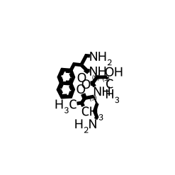 CC(C)C(=O)[C@H](CCCN)NC(=O)[C@@H](NC(=O)C(CN)Cc1ccc2ccccc2c1)[C@H](C)O